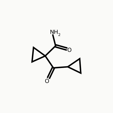 NC(=O)C1(C(=O)C2CC2)CC1